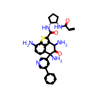 C=CC(=O)N[C@H]1CCC[C@H]1NC(=O)c1sc2c(N)ccc3c2c1C(N)C(=O)C3(N)c1cncc(-c2ccccc2)c1